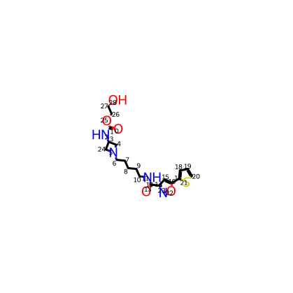 O=C(NC1CN(CCCCCNC(=O)c2cc(-c3cccs3)on2)C1)OCCO